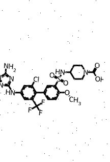 COc1ccc(-c2c(Cl)cc(Nc3n[nH]c(N)n3)cc2C(F)(F)F)cc1S(=O)(=O)NC1CCN(C(=O)O)CC1